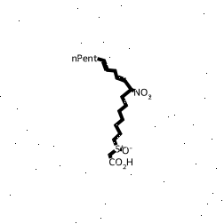 CCCCCC=CCC=CC(CCCCCCC[S+]([O-])CC(=O)O)[N+](=O)[O-]